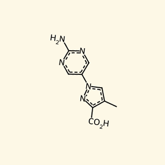 Cc1cn(-c2cnc(N)nc2)nc1C(=O)O